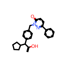 C=C(O)C(c1ccc(Cn2nc(-c3ccccc3)ccc2=O)cc1)C1CCCC1